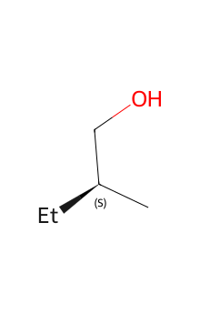 [CH2]C[C@H](C)CO